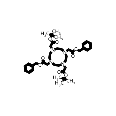 CC(C)(C)OC(=O)CN1CCN(CC(=O)OCc2ccccc2)CCN(CC(=O)OC(C)(C)C)CCN(CC(=O)OCc2ccccc2)CC1